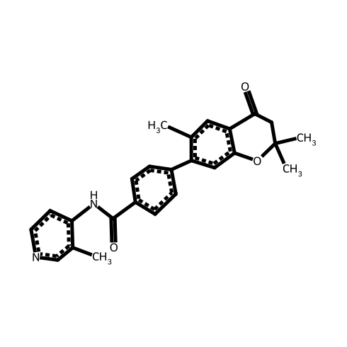 Cc1cnccc1NC(=O)c1ccc(-c2cc3c(cc2C)C(=O)CC(C)(C)O3)cc1